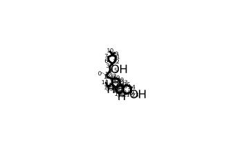 C[C@H](CCC1(O)CCC(C)(C)CC1)[C@H]1CC[C@H]2[C@@H]3CC[C@H]4C[C@@H](O)CC[C@]4(C)[C@H]3CC[C@]12C